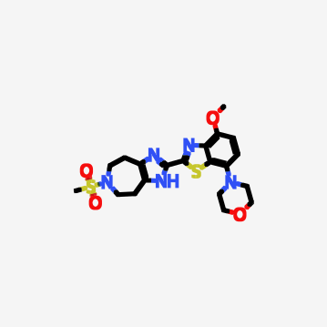 COc1ccc(N2CCOCC2)c2sc(-c3nc4c([nH]3)CCN(S(C)(=O)=O)CC4)nc12